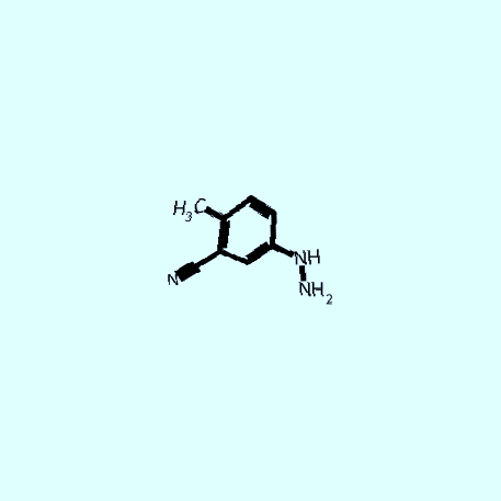 Cc1ccc(NN)cc1C#N